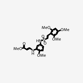 COC(=O)/C=C/Nc1cc(NS(=O)(=O)/C=C/c2c(OC)cc(OC)cc2OC)ccc1OC